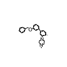 CN1CCN(c2[c]ccc(-c3cccc(OCc4ccccc4)c3)c2)CC1